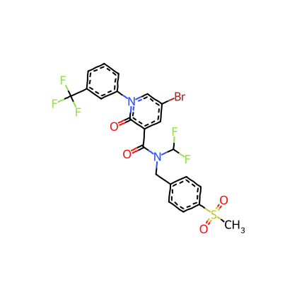 CS(=O)(=O)c1ccc(CN(C(=O)c2cc(Br)cn(-c3cccc(C(F)(F)F)c3)c2=O)C(F)F)cc1